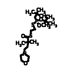 CC(C)(C)CP(=O)(OC(C)(C)C)SCCSC(=O)C(C)(C)CCN1CCOCC1